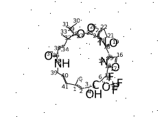 CC1=C\[C@@H](O)C[C@@H](OC(F)(F)F)Cc2nc(co2)C(=O)N2CCC=C2C(=O)O[C@H](C(C)C)[C@H](C)/C=C/C(=O)NC\C=C\1